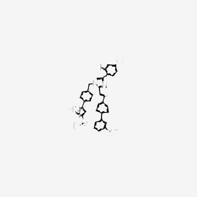 CCOc1cc(-c2ccc(Cn3cc(-c4ccc(Cl)cc4Cl)nc3C=Cc3ccc(-c4cccc(C(F)(F)F)c4)cc3)cc2)[nH]n1